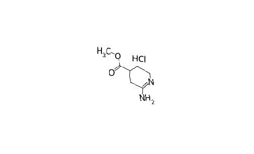 COC(=O)C1CCN=C(N)C1.Cl